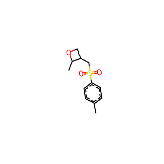 Cc1ccc(S(=O)(=O)CC2COC2C)cc1